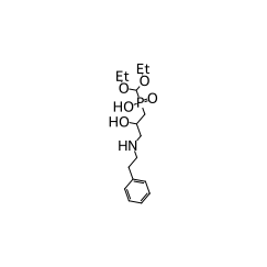 CCOC(OCC)P(=O)(O)CC(O)CNCCc1ccccc1